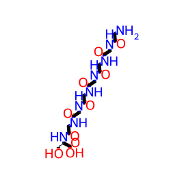 NCC(=O)NCC(=O)NCC(=O)NCC(=O)NCC(=O)NCC(=O)NCC(=O)N[C@@H](CO)C(=O)O